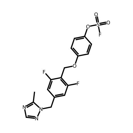 Cc1ncnn1Cc1cc(F)c(COc2ccc(OS(=O)(=O)F)cc2)c(F)c1